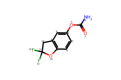 NC(=O)Oc1ccc2c(c1)CC(F)(F)O2